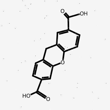 O=C(O)c1ccc2c(c1)Cc1ccc(C(=O)O)cc1O2